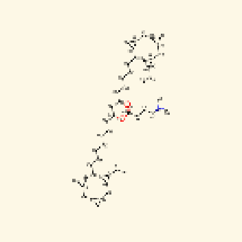 CCC1CC1CC1CC1CC1CC1CCCCCCCCC(CCCCCCCCC1CC1CC1CC1CC1C[C@H]1CC)OC(=O)CCCN(C)C